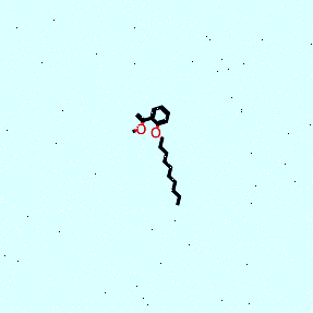 C=C(OC)c1ccccc1OCCCCCCCCCC